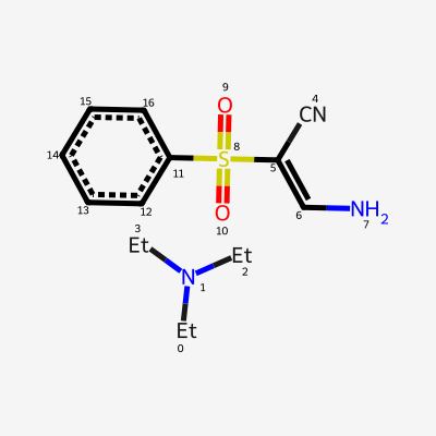 CCN(CC)CC.N#CC(=CN)S(=O)(=O)c1ccccc1